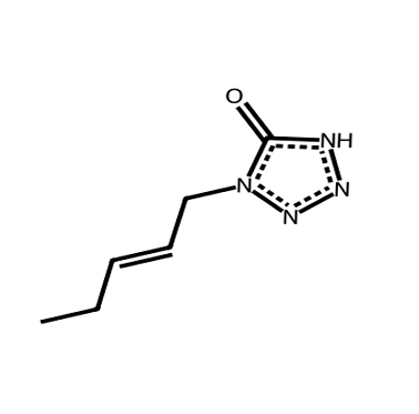 CCC=CCn1nn[nH]c1=O